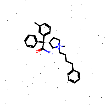 Cc1cccc(C(C(N)=O)(c2ccccc2)[C@@H]2CC[N+](C)(CCCCc3ccccc3)C2)c1